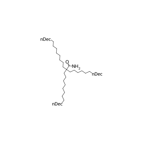 CCCCCCCCCCCCCCCCCCC(CCCCCCCCCCCCCCCC)(CCCCCCCCCCCCCCCCCC)C(N)=O